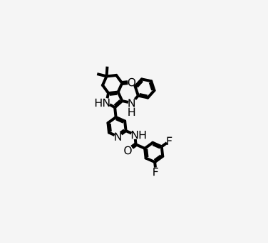 CC1(C)CC(=O)c2c([nH]c(-c3ccnc(NC(=O)c4cc(F)cc(F)c4)c3)c2Nc2ccccc2)C1